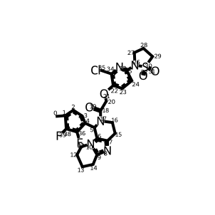 Cc1ccc(C2c3c(nc4n3CCCC4)CCN2C(=O)COc2ccc(N3CCCS3(=O)=O)nc2Cl)c(F)c1F